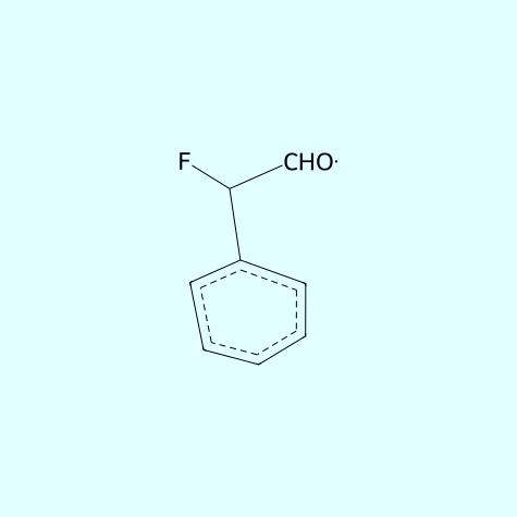 O=[C]C(F)c1ccccc1